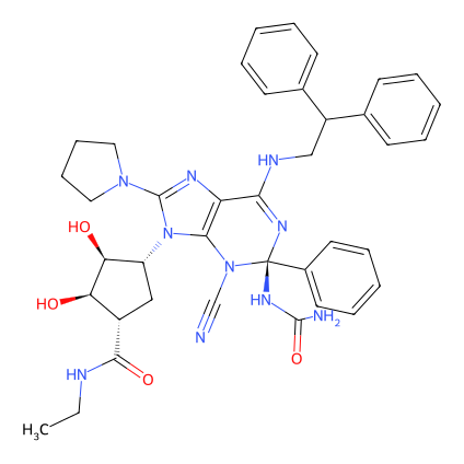 CCNC(=O)[C@H]1C[C@@H](n2c(N3CCCC3)nc3c2N(C#N)[C@@](NC(N)=O)(c2ccccc2)N=C3NCC(c2ccccc2)c2ccccc2)[C@H](O)[C@@H]1O